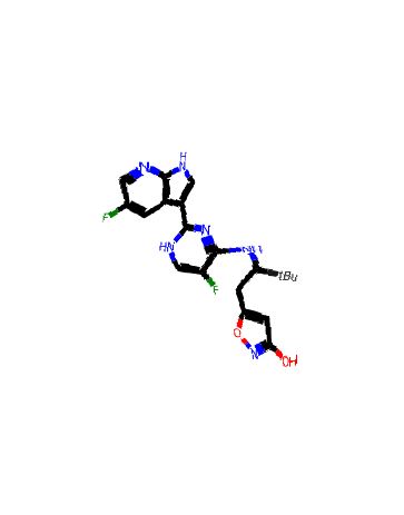 CC(C)(C)C(Cc1cc(O)no1)NC1=NC(c2c[nH]c3ncc(F)cc23)NC=C1F